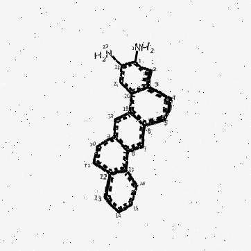 Nc1cc2ccc3cc4c(ccc5ccccc54)cc3c2cc1N